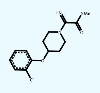 CNC(=O)C(=N)N1CCC(Oc2ccccc2Cl)CC1